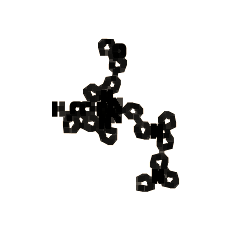 CC1(C)c2ccccc2-c2cc3c4ccccc4n(-c4nc(-c5cccc(-c6cccc(-n7c8ccccc8c8ccc(-c9ccc%10c(c9)c9ccccc9n%10-c9ccccc9)cc87)c6)c5)nc(-n5c6ccccc6c6cc(-c7ccc8oc9ccccc9c8c7)ccc65)n4)c3cc21